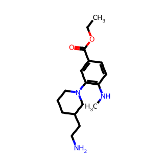 CCOC(=O)c1ccc(NC)c(N2CCCC(CCN)C2)c1